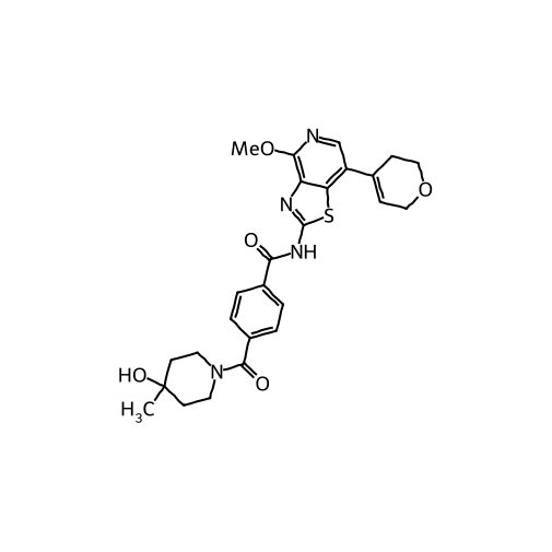 COc1ncc(C2=CCOCC2)c2sc(NC(=O)c3ccc(C(=O)N4CCC(C)(O)CC4)cc3)nc12